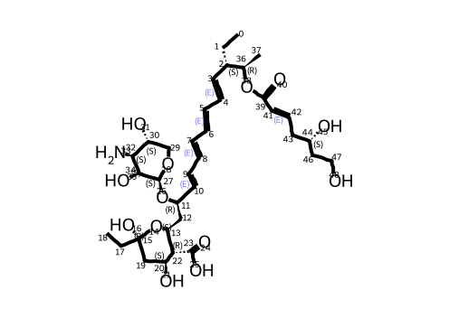 CC[C@@H](/C=C/C=C/C=C/C=C/[C@@H](C[C@@H]1O[C@](O)(CC)C[C@H](O)[C@H]1C(=O)O)O[C@@H]1OC[C@@H](O)[C@H](N)[C@@H]1O)[C@@H](C)OC(=O)/C=C/C[C@H](O)CCO